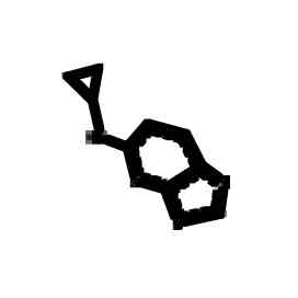 [c]1nc2ccc(NC3CC3)nc2s1